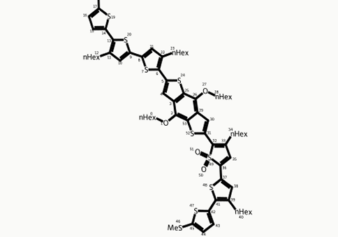 CCCCCCOc1c2cc(-c3sc(-c4cc(CCCCCC)c(-c5ccc(SC)s5)s4)cc3CCCCCC)sc2c(OCCCCCC)c2cc(C3=C(CCCCCC)C=C(c4cc(CCCCCC)c(-c5ccc(SC)s5)s4)S3(=O)=O)sc12